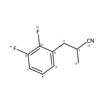 CC(C#N)Cc1cccc(F)c1F